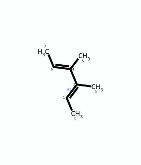 C/[C]=C(\C)C(C)=CC